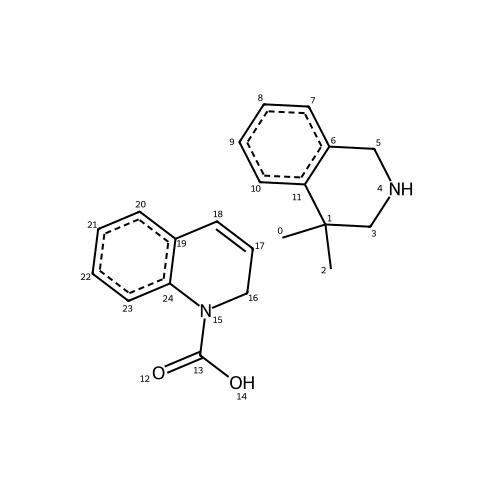 CC1(C)CNCc2ccccc21.O=C(O)N1CC=Cc2ccccc21